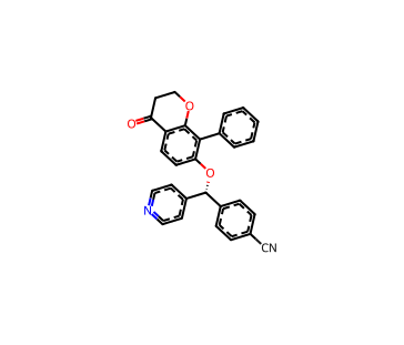 N#Cc1ccc([C@@H](Oc2ccc3c(c2-c2ccccc2)OCCC3=O)c2ccncc2)cc1